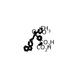 CN1CC(C(=O)N(CCCN2CCC3(C=Cc4ccccc43)CC2)c2ccccc2)CC1=O.O=C(O)C=CC(=O)O